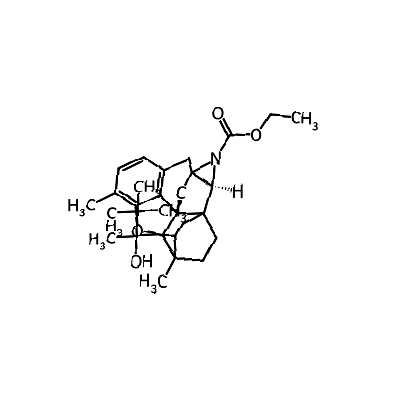 CCOC(=O)N1[C@@H]2C13Cc1ccc(C)c4c1[C@@]1(C3)C(O4)C3(C)CCC21CC3C(C)(O)C(C)(C)C